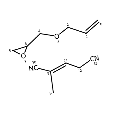 C=CCOCC1CO1.CC(C#N)=CCC#N